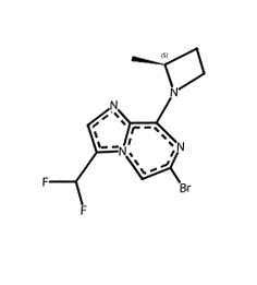 C[C@H]1CCN1c1nc(Br)cn2c(C(F)F)cnc12